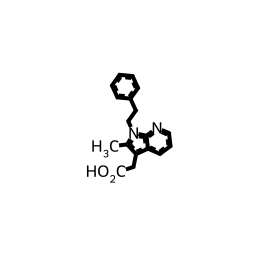 Cc1c(CC(=O)O)c2cccnc2n1CCc1ccccc1